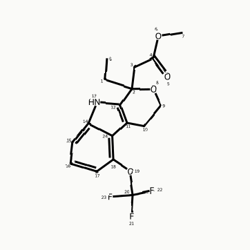 CCC1(CC(=O)OC)OCCc2c1[nH]c1cccc(OC(F)(F)F)c21